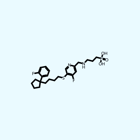 O=P(O)(O)CCCNCc1cc(F)c(SCCCCC2(c3ccccc3F)CCCC2)cn1